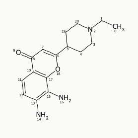 CCN1CCC(c2cc(=O)c3ccc(N)c(N)c3o2)CC1